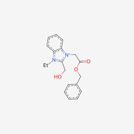 CCn1c(CO)[n+](CC(=O)OCc2ccccc2)c2ccccc21